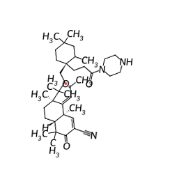 CC(=O)/C=C1/[C@@]2(C)C=C(C#N)C(=O)C(C)(C)[C@@H]2CC[C@@]1(C)C(C)(C)CC[C@@]1(CCC(=O)N2CCNCC2)CCC(C)(C)CC1C